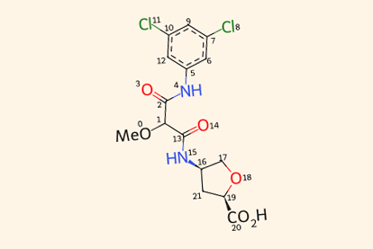 COC(C(=O)Nc1cc(Cl)cc(Cl)c1)C(=O)N[C@H]1CO[C@@H](C(=O)O)C1